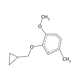 COc1ccc(C)cc1OCC1CC1